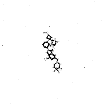 CO[C@H]1C[C@](c2cccc(-n3cc4c(C(F)(F)F)cc(CN5CCC(F)(F)[C@H](C)C5)cn4c3=O)c2)(c2nncn2C)C1